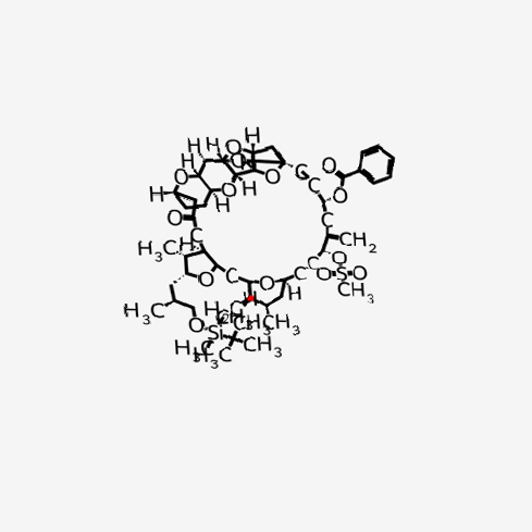 C=C1C[C@@H](OC(=O)c2ccccc2)CC[C@@]23C[C@H]4O[C@H]5[C@@H](O2)[C@H]2O[C@@H](CC[C@@H]2O[C@H]5[C@H]4O3)CC(=O)C[C@H]2C(C[C@H]3O[C@@H](CC[C@H]1OS(C)(=O)=O)C[C@@H](C)C3=C)O[C@H](C[C@H](C)CO[Si](C)(C)C(C)(C)C)[C@@H]2C